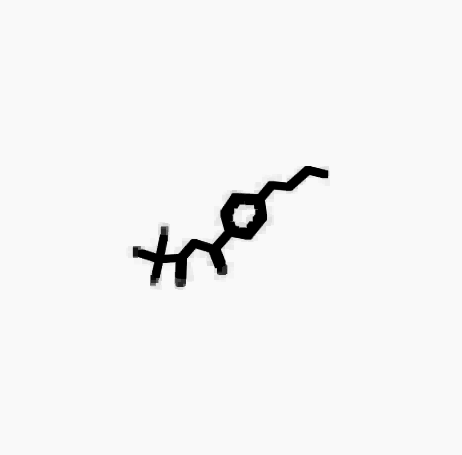 CCCCc1ccc(C(=O)CC(=O)C(F)(F)F)cc1